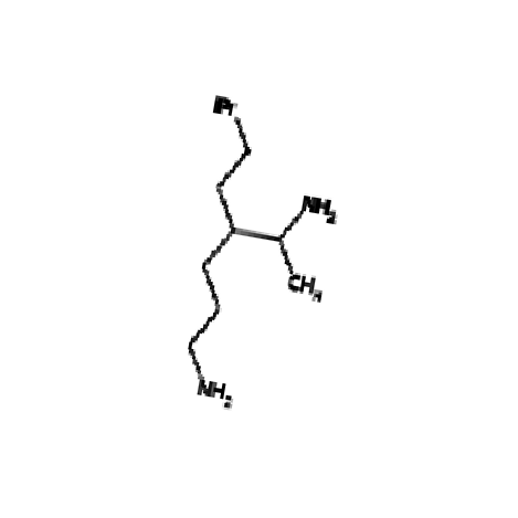 CC(C)CCC(CCCN)C(C)N